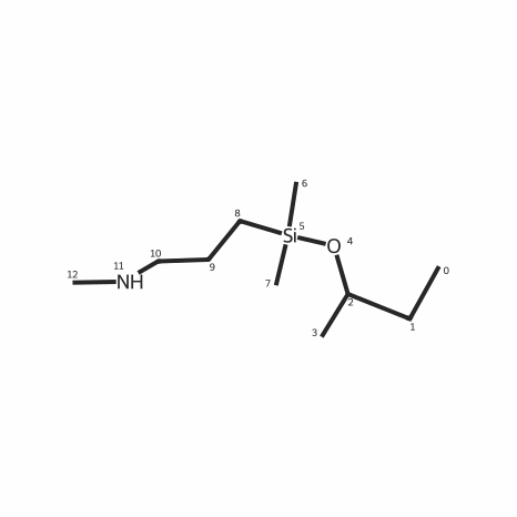 CCC(C)O[Si](C)(C)CCCNC